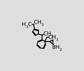 BC1CC1C1(CC)C=CC=CC=C1C(C)C1C=CC(C(C)C)=C1